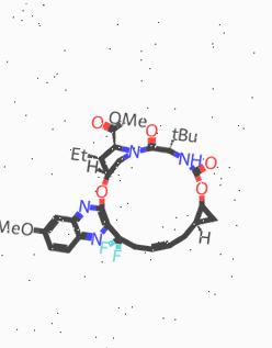 CC[C@@H]1[C@@H]2CN(C(=O)[C@H](C(C)(C)C)NC(=O)OC3C[C@H]3CC=CCC(F)(F)c3nc4ccc(OC)cc4nc3O2)[C@@H]1C(=O)OC